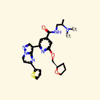 CCN(CC)C(C)CNC(=O)c1cc(OC[C@H]2CCCO2)nc(-c2cnn3ccc(-c4cccs4)nc23)c1